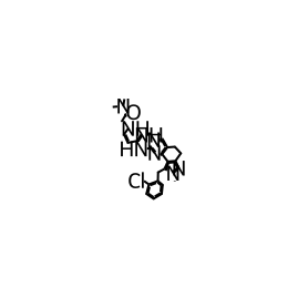 CN(C)C(=O)CN/C=C\C(=N)Nc1ncc2c(n1)-c1c(nn(C)c1Cc1ccccc1Cl)CC2